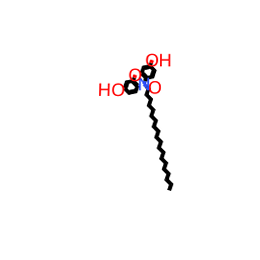 CCCCCCCCCCCCCCCCCCCC(=O)N1c2ccc(O)cc2Oc2cc(O)ccc21